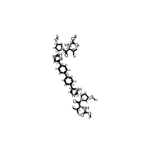 COC(=O)N[C@H](C(=O)N1C[C@@H](SC)C[C@H]1c1ncc(-c2ccc(-c3ccc(-c4cnc([C@@H]5C[C@H](SC)CN5C(=O)[C@@H](NC(=O)OC)C(C)C)[nH]4)cc3)cc2)[nH]1)C(C)C